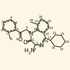 Cc1ccccc1C(=O)CN1C(=O)C(N)N=C(C2CCCCC2)c2cccc(C)c21